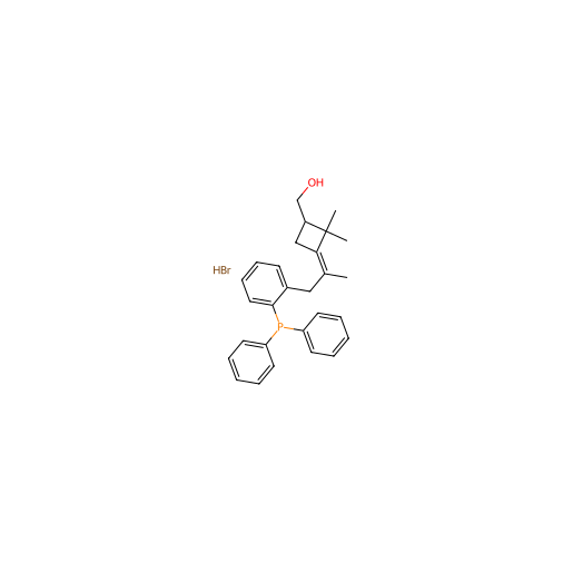 Br.CC(Cc1ccccc1P(c1ccccc1)c1ccccc1)=C1CC(CO)C1(C)C